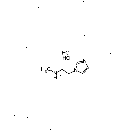 CNCCn1ccnc1.Cl.Cl